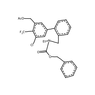 CCN(Cc1ccccc1-c1cc(Cl)c(C(F)(F)F)c(COC(C)=O)c1)C(=O)OCc1ccccc1